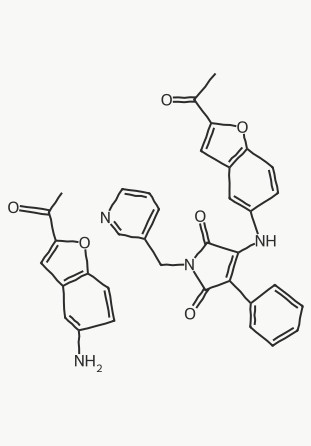 CC(=O)c1cc2cc(N)ccc2o1.CC(=O)c1cc2cc(NC3=C(c4ccccc4)C(=O)N(Cc4cccnc4)C3=O)ccc2o1